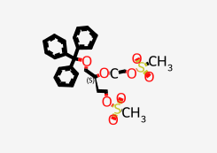 CS(=O)(=O)OCCO[C@@H](CCOS(C)(=O)=O)COC(c1ccccc1)(c1ccccc1)c1ccccc1